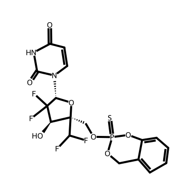 O=c1ccn([C@@H]2O[C@@](COP3(=S)OCc4ccccc4O3)(C(F)F)[C@@H](O)C2(F)F)c(=O)[nH]1